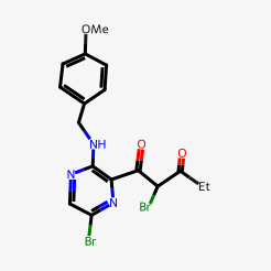 CCC(=O)C(Br)C(=O)c1nc(Br)cnc1NCc1ccc(OC)cc1